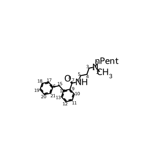 CCCCCN(C)CCCNC(=O)c1ccccc1Cc1ccccc1